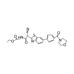 CCOC(=O)CNC(=O)C(C#N)c1nc2ccc(-c3ccc(C(=O)N4CCOCC4)cc3)cc2s1